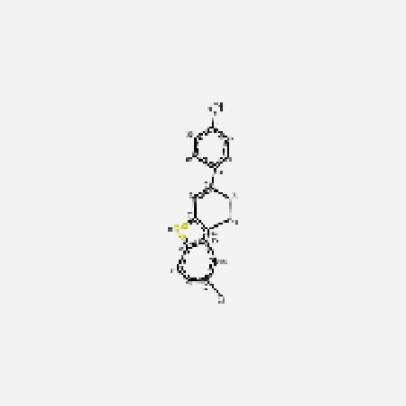 CCc1ccc(C2=Cc3sc4ccc(C)cc4c3CC2)cc1